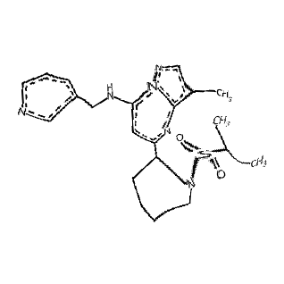 Cc1cnn2c(NCc3cccnc3)cc(C3CCCCN3S(=O)(=O)C(C)C)nc12